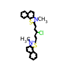 CN1/C(=C/C=C(Cl)/C=C/c2sc3c4ccccc4ccc3[n+]2C)Sc2c1ccc1ccccc21